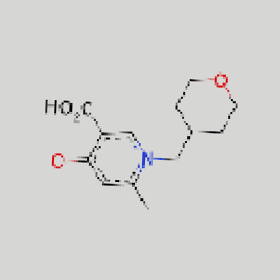 Cc1cc(=O)c(C(=O)O)cn1CC1CCOCC1